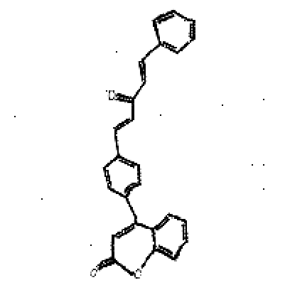 O=C(C=Cc1ccccc1)C=Cc1ccc(-c2cc(=O)oc3ccccc23)cc1